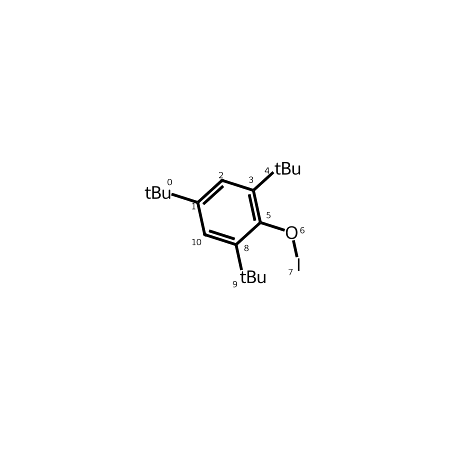 CC(C)(C)c1cc(C(C)(C)C)c(OI)c(C(C)(C)C)c1